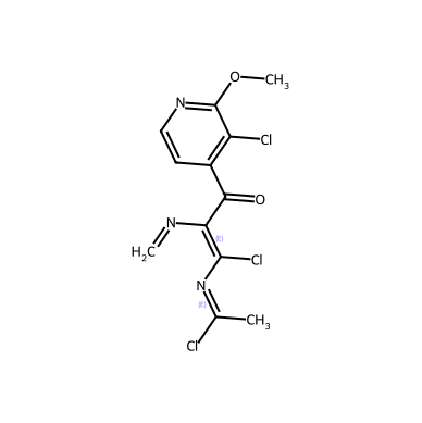 C=N/C(C(=O)c1ccnc(OC)c1Cl)=C(Cl)\N=C(/C)Cl